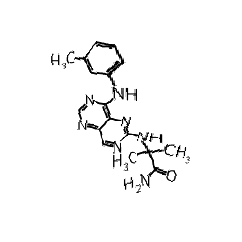 Cc1cccc(Nc2ncnc3cnc(NC(C)(C)C(N)=O)nc23)c1